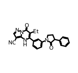 CCc1c(-c2cccc(N3CCC(c4ccccc4)C3=O)c2)[nH]c2c(C#N)cnn2c1=O